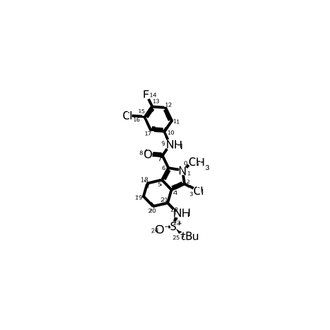 Cn1c(Cl)c2c(c1C(=O)Nc1ccc(F)c(Cl)c1)CCCC2N[S@+]([O-])C(C)(C)C